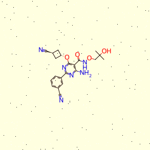 CC(C)(O)CONC(=O)c1c(N)nc(-c2cccc(C#N)c2)nc1O[C@H]1C[C@H](C#N)C1